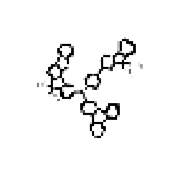 CC1(C)C2=CC(c3ccc(N(C4=CC=C5c6ccccc6-c6ccccc6C5C4)c4ccc5c(c4)-c4c(ccc6c4oc4ccccc46)C5(C)C)cc3)=CCC2c2ccccc21